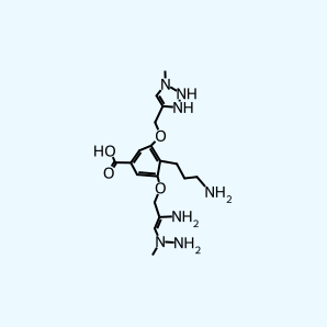 CN(N)/C=C(\N)COc1cc(C(=O)O)cc(OCC2=CN(C)NN2)c1CCCN